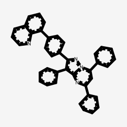 c1ccc(-c2cc(-c3ccccc3)n3nc(-c4ccc(-c5cccc6cccnc56)cc4)c(-c4ccccc4)c3n2)cc1